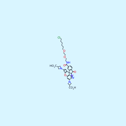 [N-]=[N+]=C1C(=O)c2ccc(C(=O)NCCOCCOCCCCCCCl)cc2C12c1ccc(N3CC(C(=O)O)C3)cc1Oc1cc(N3CC(C(=O)O)C3)ccc12